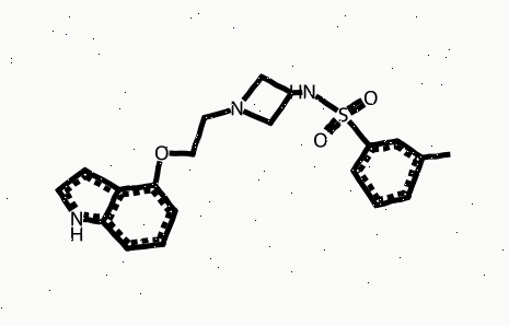 Cc1cccc(S(=O)(=O)NC2CN(CCOc3cccc4[nH]ccc34)C2)c1